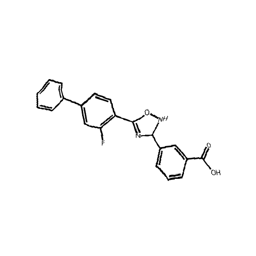 O=C(O)c1cccc(C2N=C(c3ccc(-c4ccccc4)cc3F)ON2)c1